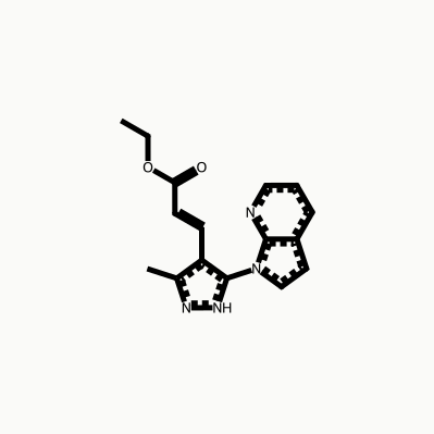 CCOC(=O)/C=C/c1c(C)n[nH]c1-n1ccc2cccnc21